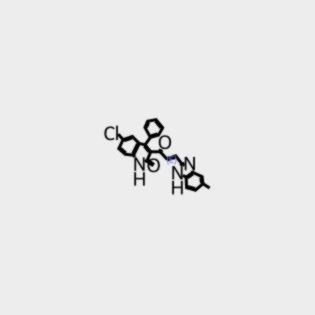 Cc1ccc2[nH]c(/C=C/C(=O)c3c(-c4ccccc4)c4cc(Cl)ccc4[nH]c3=O)nc2c1